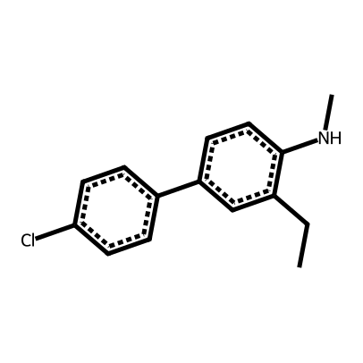 CCc1cc(-c2ccc(Cl)cc2)ccc1NC